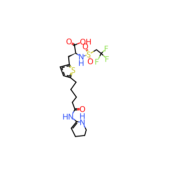 O=C(CCCCc1ccc(C[C@H](NS(=O)(=O)CC(F)(F)F)C(=O)O)s1)NC1=CCCCN1